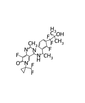 Cc1nc(NC(C)c2cccc(C(F)(F)C(C)(C)O)c2F)c2cn(C3(C(F)F)CC3)c(=O)c(F)c2n1